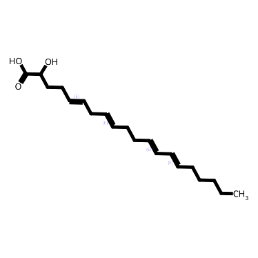 CCCCC/C=C/C=C/CC/C=C/C/C=C/CCC(O)C(=O)O